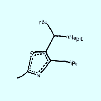 CCCCCCCC(CCCC)c1sc(C)nc1C(C)C